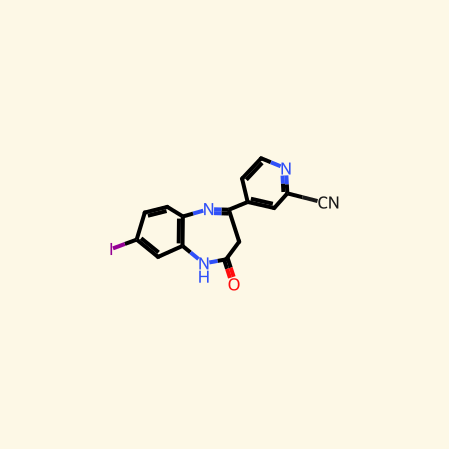 N#Cc1cc(C2=Nc3ccc(I)cc3NC(=O)C2)ccn1